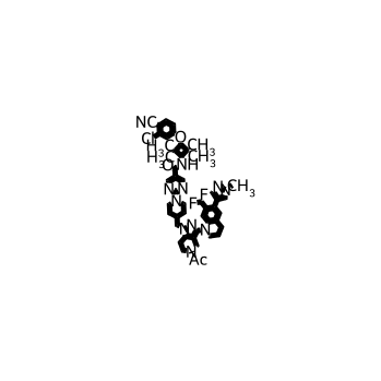 CC(=O)N1CCc2c(c(N3CCCc4cc(-c5cnn(C)c5)c(C(F)F)cc43)nn2CC2CCN(c3ncc(C(=O)NC4C(C)(C)C(Oc5ccc(C#N)c(Cl)c5)C4(C)C)cn3)CC2)C1